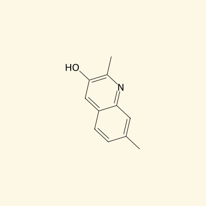 Cc1ccc2cc(O)c(C)nc2c1